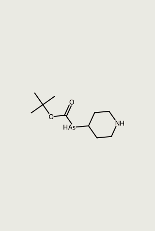 CC(C)(C)OC(=O)[AsH]C1CCNCC1